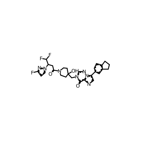 O=C(CC(C(F)F)n1ccc(F)n1)N1CCC(O)(Cn2cnn3c(-c4ccc5c(c4)CCC5)cnc3c2=O)CC1